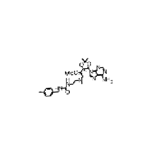 CO[C@H](CN(C)CCNC(=O)NCc1ccc(C)cc1)[C@H]1OC(C)(C)O[C@H]1n1cnc2c(N)ncnc21